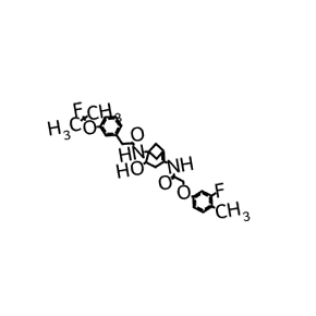 Cc1ccc(OCC(=O)NC2=C3CC(NC(=O)Cc4cccc(OC(C)(C)F)c4)(C3)C(O)C2)cc1F